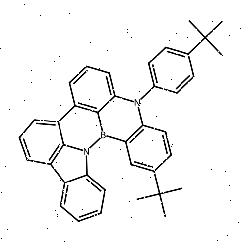 CC(C)(C)c1ccc(N2c3ccc(C(C)(C)C)cc3B3c4c(cccc42)-c2cccc4c5ccccc5n3c24)cc1